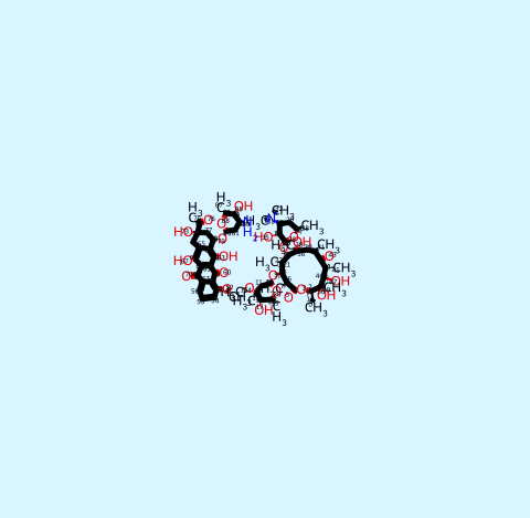 CC[C@H]1OC(=O)[C@H](C)[C@@H](O[C@H]2C[C@@](C)(OC)[C@@H](O)[C@H](C)O2)[C@H](C)[C@@H](O[C@@H]2O[C@H](C)C[C@H](N(C)C)[C@H]2O)[C@](C)(O)C[C@@H](C)C(=O)[C@H](C)[C@@H](O)[C@]1(C)O.COc1cccc2c1C(=O)c1c(O)c3c(c(O)c1C2=O)C[C@@](O)(C(C)=O)C[C@@H]3O[C@H]1C[C@H](N)[C@H](O)[C@H](C)O1